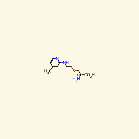 Cc1ccnc(NCCSC[C@H](N)C(=O)O)c1